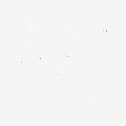 CCNC(=O)NC1(C2CNCCC2(C)C(=O)O)N=C(OC)C=CN1c1ccc2scnc2c1